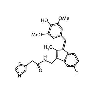 COc1cc(C=C2C(C)=C(CNC(=O)Cc3cncs3)c3cc(F)ccc32)cc(OC)c1O